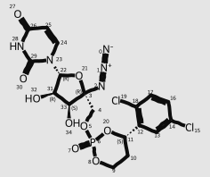 [N-]=[N+]=N[C@]1(COP2(=O)OCC[C@@H](c3cc(Cl)ccc3Cl)O2)O[C@@H](n2ccc(=O)[nH]c2=O)[C@H](O)[C@@H]1O